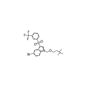 CS(C)(C)CCOCn1cc(S(=O)(=O)c2cccc(C(F)(F)F)c2)c2cc(Br)ccc21